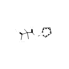 CC(C)(C(=O)O)C(=O)On1cccc1